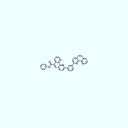 O=C(Oc1ccccc1)c1cc2ccc(-c3cccc(-c4ccc5ccc6cccnc6c5n4)c3)nc2c2ncccc12